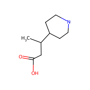 CC(CC(=O)O)C1CC[N]CC1